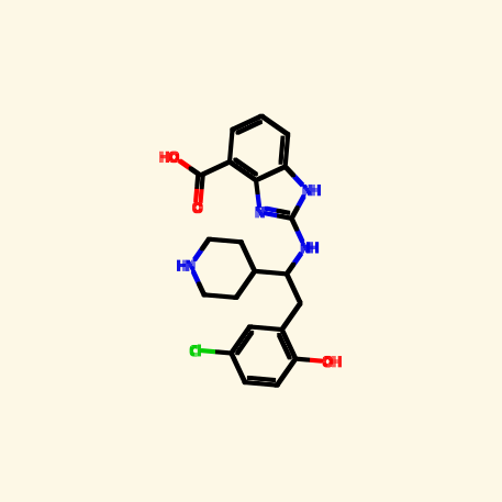 O=C(O)c1cccc2[nH]c(NC(Cc3cc(Cl)ccc3O)C3CCNCC3)nc12